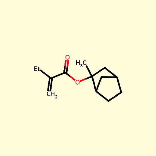 C=C(CC)C(=O)OC1(C)CC2CCC1C2